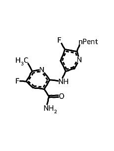 CCCCCc1ncc(Nc2nc(C)c(F)cc2C(N)=O)cc1F